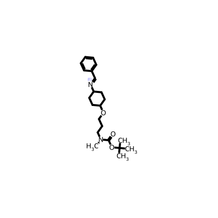 CN(CCCOC1CCC(/N=C/c2ccccc2)CC1)C(=O)OC(C)(C)C